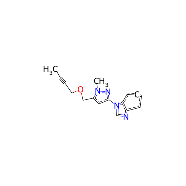 CC#CCOCc1cc(-n2cnc3ccccc32)nn1C